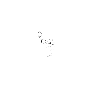 Nc1n[nH]c(=O)c2c(C3CCN(C(=O)O)C3)cn(-c3ccc(Oc4ccccc4)cc3)c12